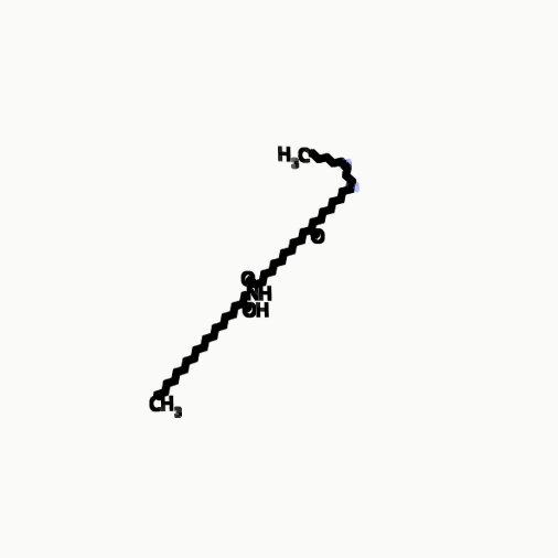 CCCCC/C=C\C/C=C\CCCCCCCC(=O)CCCCCCCCCCC(=O)NCC(O)CCCCCCCCCCCCCCCCCC